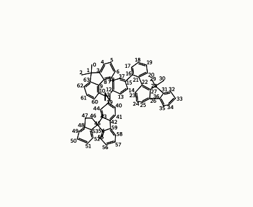 CC1(C)c2ccccc2-c2c(N(c3ccc(-c4ccccc4-c4cccc5c4C(C)(C)c4ccccc4-5)cc3)c3ccc4c(c3)C3(CCc5ccccc53)c3ccccc3-4)cccc21